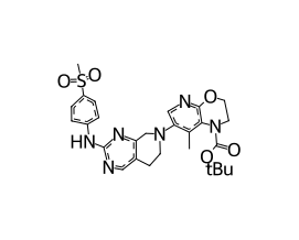 Cc1c(N2CCc3cnc(Nc4ccc(S(C)(=O)=O)cc4)nc3C2)cnc2c1N(C(=O)OC(C)(C)C)CCO2